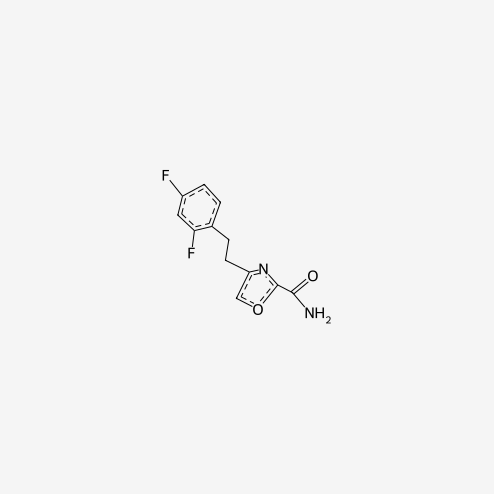 NC(=O)c1nc(CCc2ccc(F)cc2F)co1